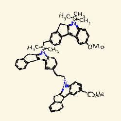 COc1ccc2c(c1)c1c(n2CCc2ccc3c(c2)c2c(n3[Si](C)(C)Cc3ccc4c(c3)Cc3c-4c4cc(OC)ccc4n3[Si](C)(C)C)Cc3ccccc3-2)Cc2ccccc2-1